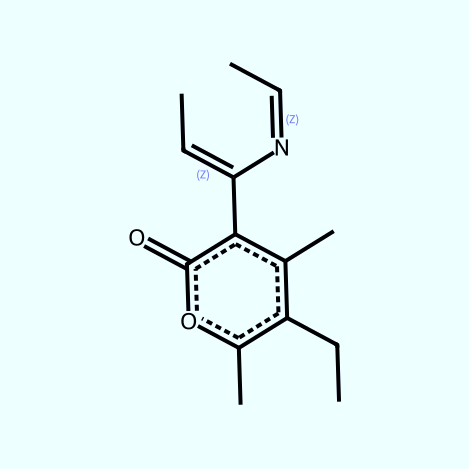 C/C=N\C(=C/C)c1c(C)c(CC)c(C)oc1=O